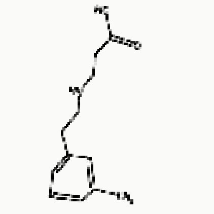 Cc1cccc(CCNCCC(=O)O)c1